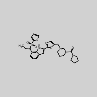 CCN(c1cccc2cc(-c3ncc(CN4CCCC(C(=O)N5CCCC5)C4)s3)[nH]c12)S(=O)(=O)c1cccs1